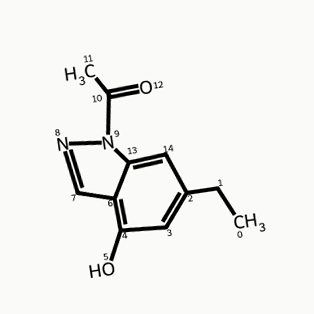 CCc1cc(O)c2cnn(C(C)=O)c2c1